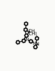 CC1(C)c2cc(-c3ccccc3)ccc2-c2cc3c4cc(-c5ccccc5)ccc4n(-c4ccc(-n5c(-c6ccccc6)nc6ccccc65)cc4)c3cc21